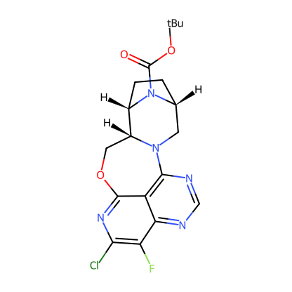 CC(C)(C)OC(=O)N1[C@@H]2CC[C@H]1[C@H]1COc3nc(Cl)c(F)c4ncnc(c34)N1C2